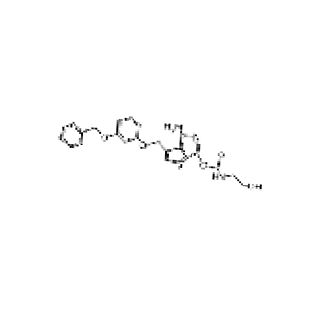 Nc1ncc(OC(=O)NCCO)c2scc(COc3cccc(OCc4ccccc4)c3)c12